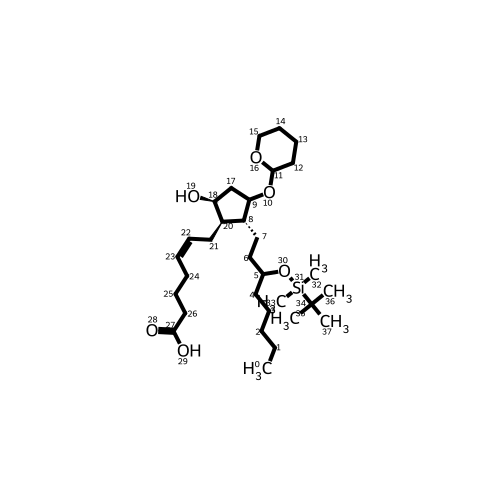 CCCCCC(CC[C@H]1C(OC2CCCCO2)C[C@H](O)[C@@H]1C/C=C\CCCC(=O)O)O[Si](C)(C)C(C)(C)C